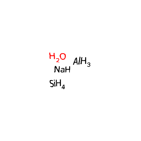 O.[AlH3].[NaH].[SiH4]